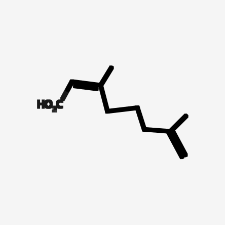 C=C(C)CCCC(C)=CC(=O)O